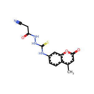 Cc1cc(=O)oc2cc(NC(=S)NNC(=O)CC#N)ccc12